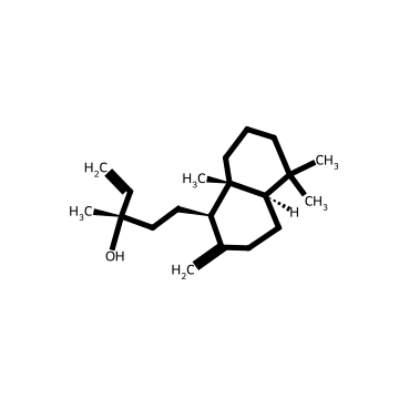 C=C[C@@](C)(O)CC[C@@H]1C(=C)CC[C@@H]2C(C)(C)CCC[C@@]12C